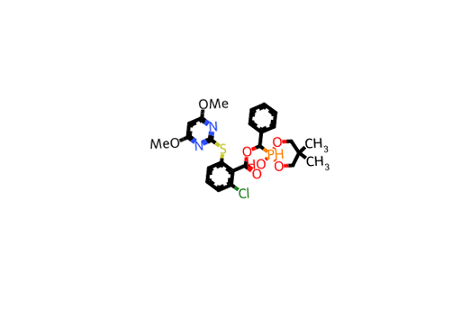 COc1cc(OC)nc(Sc2cccc(Cl)c2C(=O)OC(c2ccccc2)[PH]2(O)OCC(C)(C)CO2)n1